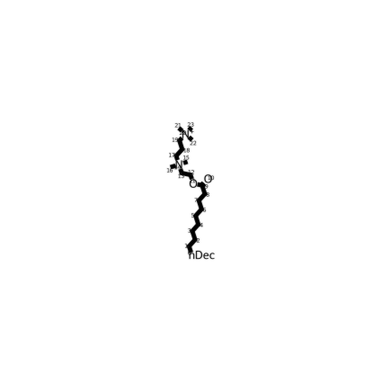 CCCCCCCCCCCCCCCCCCC(=O)OCC[N+](C)(C)CCC[N+](C)(C)C